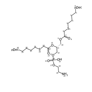 CCCCCCCCCCCCCCSCC(=O)OC[C@H](COP(=O)(O)OCCN)OC(=O)CSCCCCCCCCCCCCCC